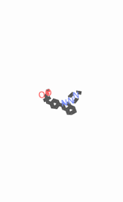 CCN1CCN(c2nc(-c3ccc(CC(C)(C)C(=O)OC)cc3)cc3ccccc23)CC1